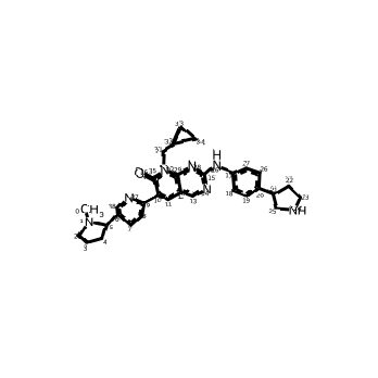 CN1CCCC1c1ccc(-c2cc3cnc(Nc4ccc(C5CCNC5)cc4)nc3n(CC3CC3)c2=O)nc1